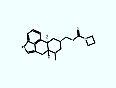 CN1C[C@H](COC(=O)N2CCC2)C[C@@H]2c3cccc4[nH]cc(c34)C[C@H]21